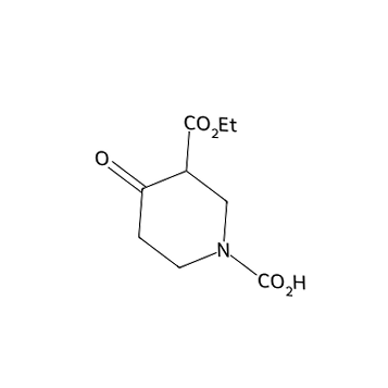 CCOC(=O)C1CN(C(=O)O)CCC1=O